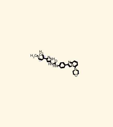 C=N/C=C\C(=C/C)c1cc(NC(=O)Nc2ccc(-c3cn4c(N5CCOCC5)cccc4n3)cc2)[nH]n1